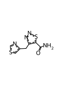 NC(=O)c1snnc1Cc1cscn1